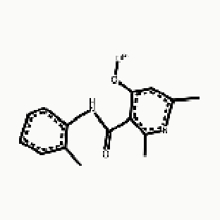 CCCOc1cc(C)nc(C)c1C(=O)Nc1ccccc1C